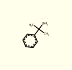 C[C](C)([BiH2])c1ccccc1